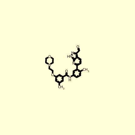 Cc1cc(OCCN2CCOCC2)cc(C(=O)Nc2ccc(C)c(-c3ccc4c(C=O)n[nH]c4n3)c2)c1